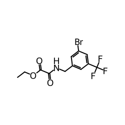 CCOC(=O)C(=O)NCc1cc(Br)cc(C(F)(F)F)c1